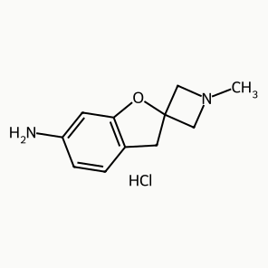 CN1CC2(Cc3ccc(N)cc3O2)C1.Cl